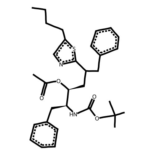 CCCCc1cnc(C(Cc2ccccc2)C[C@H](OC(C)=O)[C@H](Cc2ccccc2)NC(=O)OC(C)(C)C)s1